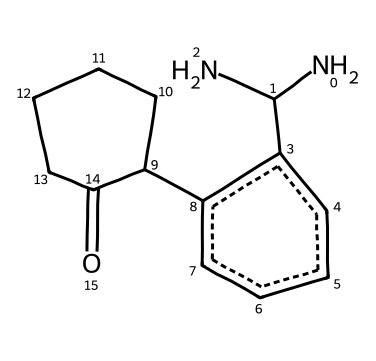 NC(N)c1ccccc1C1CCCCC1=O